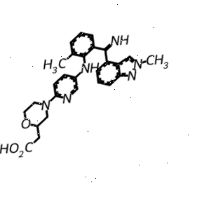 Cc1cccc(C(=N)c2cccc3nn(C)cc23)c1Nc1ccc(N2CCOC(CC(=O)O)C2)nc1